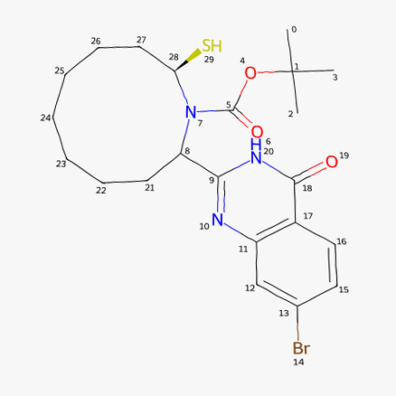 CC(C)(C)OC(=O)N1C(c2nc3cc(Br)ccc3c(=O)[nH]2)CCCCCCC[C@H]1S